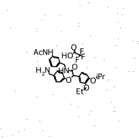 CCOc1cc(C(Oc2ccc(CN)cc2)C(=O)NCc2cccc(NC(C)=O)c2)ccc1OC(C)C.O=C(O)C(F)(F)F